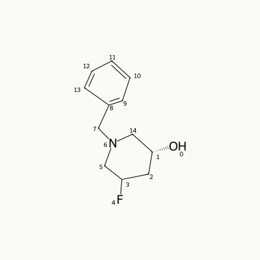 O[C@@H]1CC(F)CN(Cc2ccccc2)C1